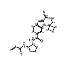 C=CC(=O)NC1CCCC1NC(=O)c1ccc2cc3n(c2c1)C1(CCC1)CNC3=O